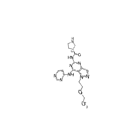 O=C(Nc1nc(Nc2ccncn2)c2c(cnn2CCOCC(F)(F)F)n1)[C@H]1CCNC1